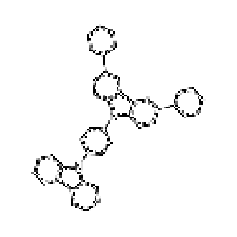 c1ccc(-c2ccc3c(c2)c2cc(-c4ccccc4)ccc2n3-c2ccc(-n3c4ccccc4c4ccccc43)cc2)cc1